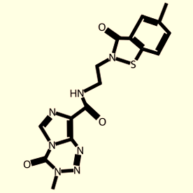 Cc1ccc2sn(CCNC(=O)c3ncn4c(=O)n(C)nnc34)c(=O)c2c1